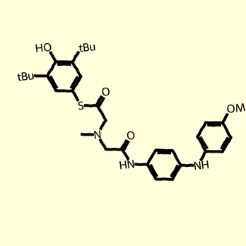 COc1ccc(Nc2ccc(NC(=O)CN(C)CC(=O)Sc3cc(C(C)(C)C)c(O)c(C(C)(C)C)c3)cc2)cc1